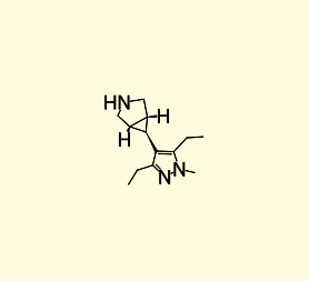 CCc1nn(C)c(CC)c1[C@H]1[C@@H]2CNC[C@@H]21